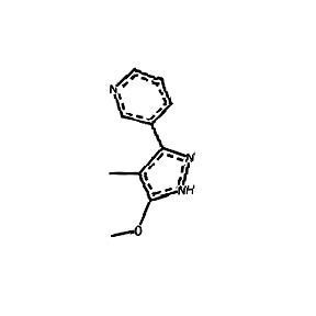 COc1[nH]nc(-c2cccnc2)c1C